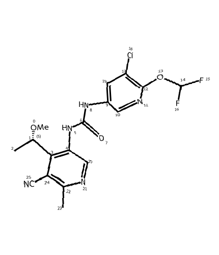 CO[C@@H](C)c1c(NC(=O)Nc2cnc(OC(F)F)c(Cl)c2)cnc(C)c1C#N